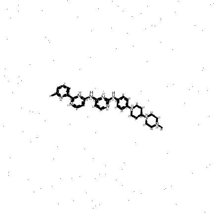 Cc1cccc(-c2nccc(Nc3ccnc(Nc4ccc(N5CCC(N6CCN(C)CC6)CC5)cc4)n3)n2)n1